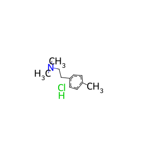 Cc1ccc(CCN(C)C)cc1.Cl